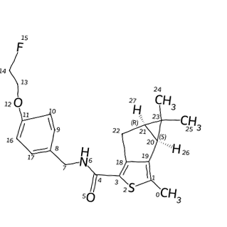 Cc1sc(C(=O)NCc2ccc(OCCF)cc2)c2c1[C@H]1[C@@H](C2)C1(C)C